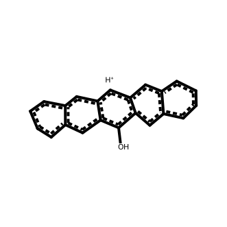 Oc1c2cc3ccccc3cc2cc2cc3ccccc3cc12.[H+]